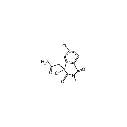 CN1C(=O)c2ccc(Cl)cc2C(Cl)(CC(N)=O)C1=O